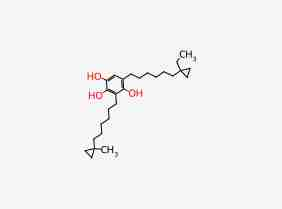 CCC1(CCCCCCc2cc(O)c(O)c(CCCCCCC3(C)CC3)c2O)CC1